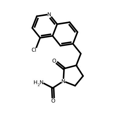 NC(=O)N1CC[C](Cc2ccc3nccc(Cl)c3c2)C1=O